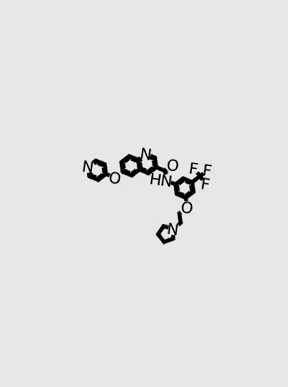 O=C(Nc1cc(OCCN2CCCC2)cc(C(F)(F)F)c1)c1cnc2ccc(Oc3ccncc3)cc2c1